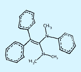 CN(C)C(=C(c1ccccc1)c1ccccc1)N(C)c1ccccc1